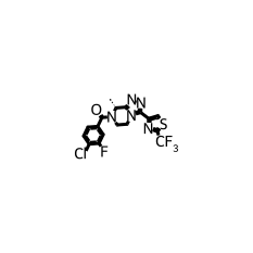 C[C@@H]1c2nnc(-c3csc(C(F)(F)F)n3)n2CCN1C(=O)c1ccc(Cl)c(F)c1